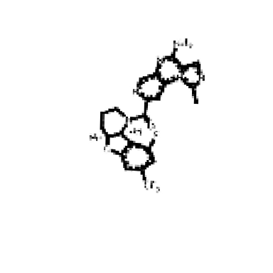 Cc1ncc2c(N)nc3cnc(C(=O)N4CCC[C@@H]5Oc6cc(C(F)(F)F)cc(F)c6[C@@H]54)cc3n12